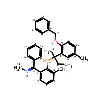 CCC(C)(Pc1c(C)cccc1/C(=N/C)c1ccccc1)c1cc(C)ccc1OCc1ccccc1